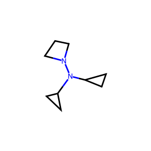 C1CN(N(C2CC2)C2CC2)C1